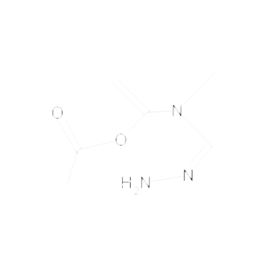 C=C(OC(C)=O)N(C)/C=N\N